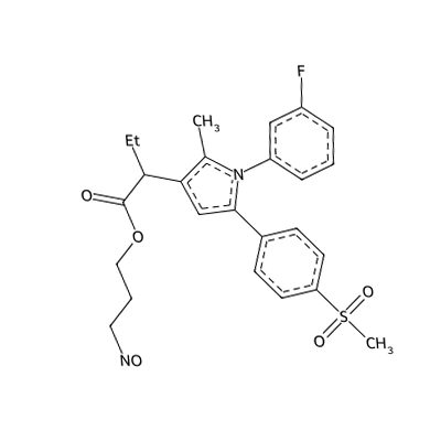 CCC(C(=O)OCCCN=O)c1cc(-c2ccc(S(C)(=O)=O)cc2)n(-c2cccc(F)c2)c1C